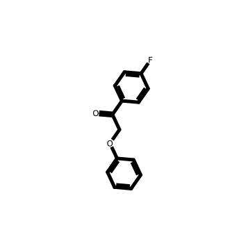 O=C(COc1ccccc1)c1ccc(F)cc1